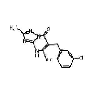 CC(C)c1[nH]c2nc(N)nn2c(=O)c1Cc1cccc(Cl)c1